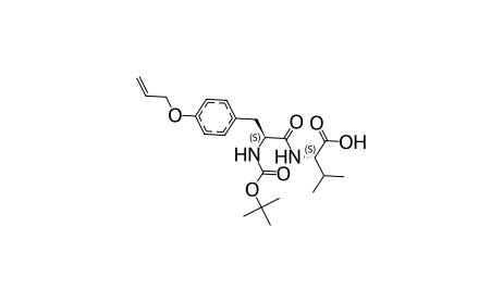 C=CCOc1ccc(C[C@H](NC(=O)OC(C)(C)C)C(=O)N[C@H](C(=O)O)C(C)C)cc1